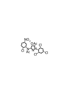 CC(=O)Oc1cc(N(C(C)=O)c2cc([N+](=O)[O-])ccc2Cl)nn1-c1c(Cl)cc(Cl)cc1Cl